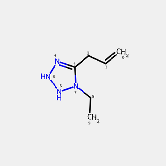 C=CCC1=NNNN1CC